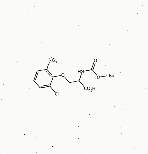 CC(C)(C)OC(=O)NC(COc1c(Cl)cccc1[N+](=O)[O-])C(=O)O